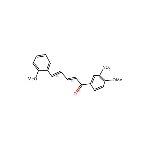 COc1ccccc1/C=C/C=C/C(=O)c1ccc(OC)c([N+](=O)[O-])c1